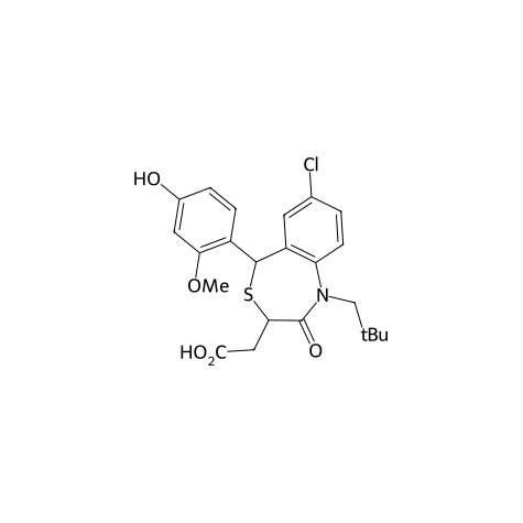 COc1cc(O)ccc1C1SC(CC(=O)O)C(=O)N(CC(C)(C)C)c2ccc(Cl)cc21